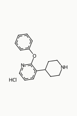 Cl.c1ccc(Oc2ncccc2C2CCNCC2)cc1